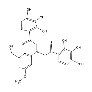 COc1cc(CO)cc(N(CC(=O)c2ccc(O)c(O)c2O)CC(=O)c2ccc(O)c(O)c2O)c1